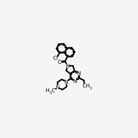 CCc1nc2c(c(N3CCN(C)CC3)n1)CN(C(=O)c1cccc3cccc(Cl)c13)C2